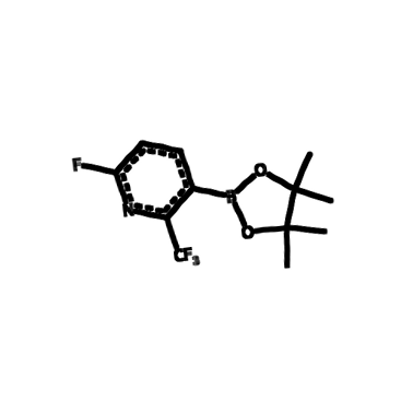 CC1(C)OB(c2ccc(F)nc2C(F)(F)F)OC1(C)C